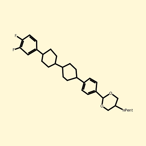 CCCCCC1COC(c2ccc(C3CCC(C4CCC(c5ccc(F)c(F)c5)CC4)CC3)cc2)OC1